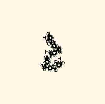 Cn1cnc(-c2ccc3c(c2)CN(C2CCC(=O)NC2=O)C3=O)c1-c1ccc2c(c1)ncn2Cc1c[nH]c2cc(-c3c(-c4ccc5c(c4)CN(C4CCC(=O)NC4=O)C5=O)ncn3C)ccc12